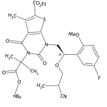 CCCCOC(=O)C(C)(C)n1c(=O)c2c(C)c(C(=O)OCC)sc2n(C[C@H](OCC(C)C#N)c2cc(F)ccc2OC)c1=O